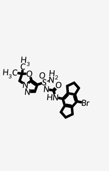 CC1(C)Cn2ncc([S@@](N)(=O)=NC(=O)Nc3c4c(c(Br)c5c3CCC5)CCC4)c2O1